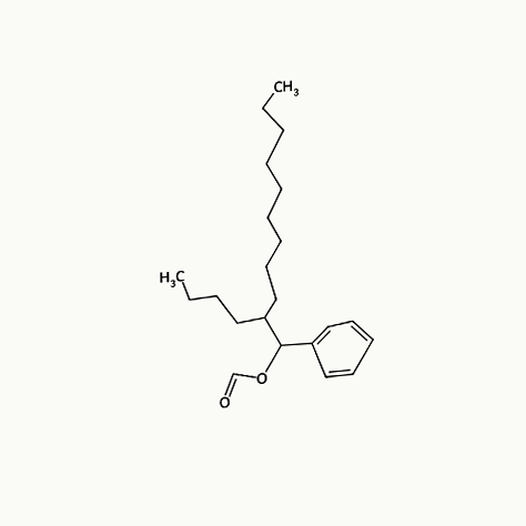 CCCCCCCCCC(CCCC)C(OC=O)c1ccccc1